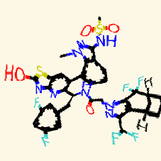 Cn1nc(NS(C)(=O)=O)c2cccc(-c3cc4sc(O)nc4nc3[C@H](Cc3cc(F)cc(F)c3)NC(=O)Cn3nc(C(F)F)c4c3C(F)(F)[C@@H]3CC[C@H]43)c21